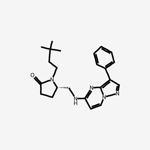 CC(C)(C)CCN1C(=O)CC[C@H]1CNc1ccn2ncc(-c3ccccc3)c2n1